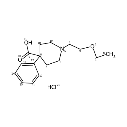 CCOCCN1CCC(C(=O)O)(c2ccccc2)CC1.Cl